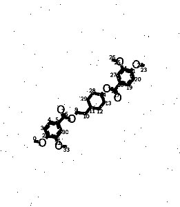 COc1ccc(C(=O)OCCC2CCC(OC(=O)c3ccc(OC)c(OC)c3)CC2)cc1OC